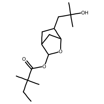 CCC(C)(C)C(=O)OC1OC2CC1CC2CC(C)(C)O